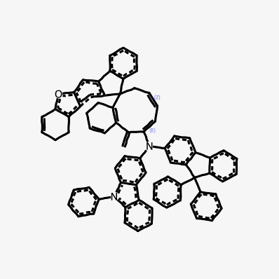 C=C1C2=C(CCC=C2)C2(C/C=C\C=C/1N(c1ccc3c(c1)C(c1ccccc1)(c1ccccc1)c1ccccc1-3)c1ccc3c(c1)c1ccccc1n3-c1ccccc1)c1ccccc1-c1cc3oc4c(c3cc12)CCC=C4